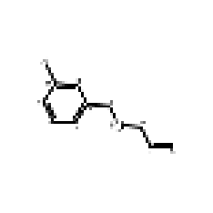 C=CCOCc1cccc(C)c1